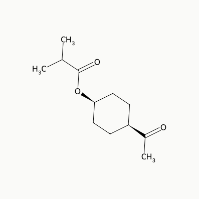 CC(=O)[C@H]1CC[C@@H](OC(=O)C(C)C)CC1